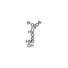 O=C(COc1ccc(NCC(F)Cn2c3ccc(Br)cc3c3cc(Br)ccc32)cc1)NCCO